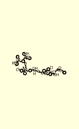 CCOC(N(CCCCOC1C=C(CN(CC2C=CCCN2)CC2CCC=CN2)CC(CN(CC2C=CC=CN2)CC2C=CC=CN2)C1)CC1C=CC(C(O)NCCOCCOCCN(CC2C=CC(C(O)OCCC(C)(C)C(=O)OCc3ccccc3)=CC2)C(O)C2(C3=CCC(Cl)C=C3)CCCCC2)=CC1)C1(C2=CC=C(Cl)CC2)CCCCC1